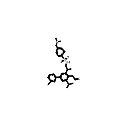 CC(C)c1cc(-c2cccc(Cl)c2)cc(C(C)CNS(=O)(=O)c2ccc(CN(C)C)cc2)c1CC=O